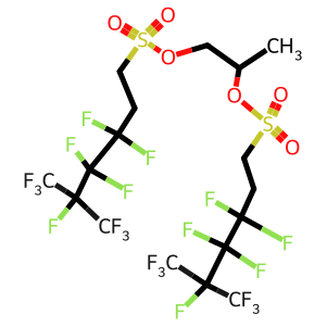 CC(COS(=O)(=O)CCC(F)(F)C(F)(F)C(F)(C(F)(F)F)C(F)(F)F)OS(=O)(=O)CCC(F)(F)C(F)(F)C(F)(C(F)(F)F)C(F)(F)F